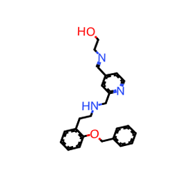 OCCN=Cc1ccnc(CNCCc2ccccc2OCc2ccccc2)c1